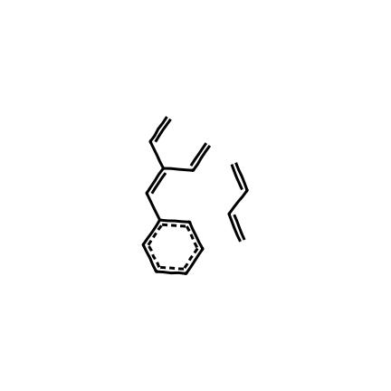 C=CC(C=C)=Cc1ccccc1.C=CC=C